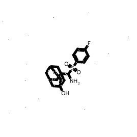 NC(C12CC3CC(CC(O)(C3)C1)C2)S(=O)(=O)c1ccc(F)cc1